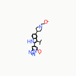 COCCN1CCC(c2ccc3[nH]c(-c4cc(OC)n5ncnc5c4)c(C(C)C)c3c2)CC1